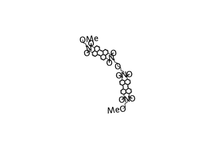 COCCCN1C(=O)c2ccc3c4ccc5c6c(ccc(c7ccc(c2c37)C1=O)c64)C(=O)N(CCCOCCCN1C(=O)c2ccc3c4ccc6c7c(ccc(c8ccc(c2c38)C1=O)c74)C(=O)N(CCCOC)C6=O)C5=O